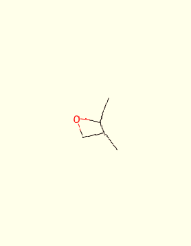 C[C]1COC1C